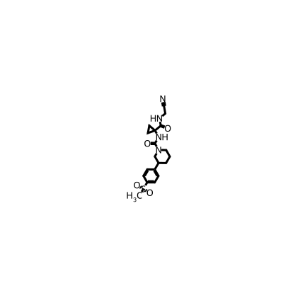 CS(=O)(=O)c1ccc(C2CCCN(C(=O)NC3(C(=O)NCC#N)CC3)C2)cc1